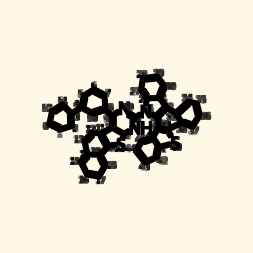 c1ccc(-c2cccc(C3=C4c5ccc6ccccc6c5SC4NC(n4c5ccccc5c5c6ccccc6c6sc7ccccc7c6c54)=N3)c2)cc1